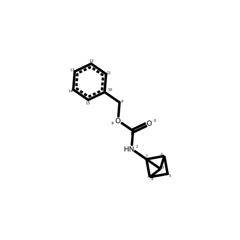 O=C(NC1[C]2CC1C2)OCc1ccccc1